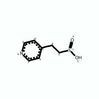 O=S(O)CCc1ccncc1